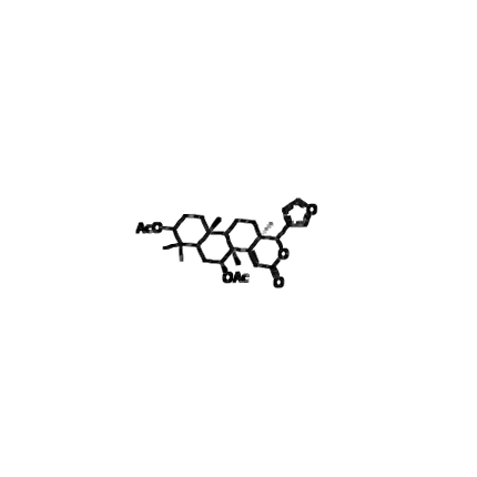 CC(=O)OC1CC[C@@]2(C)C(C[C@H](OC(C)=O)[C@@]3(C)C4=CC(=O)OC(c5ccoc5)[C@]4(C)CCC23)C1(C)C